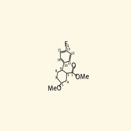 COC(=O)C1C[C@@H](OC)CCC1c1ccc(F)cc1